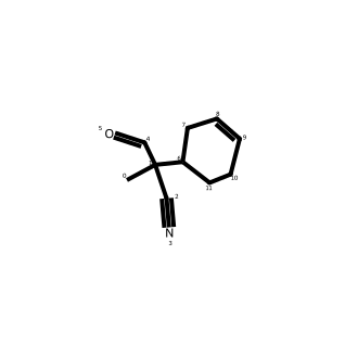 CC(C#N)(C=O)C1CC=CCC1